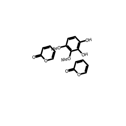 COc1ccc(O)c(O)c1OC.O=c1cccco1.O=c1cccco1